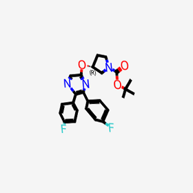 CC(C)(C)OC(=O)N1CC[C@@H](Oc2cnc(-c3ccc(F)cc3)c(-c3ccc(F)cc3)n2)C1